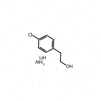 OCCc1ccc(Cl)cc1.[AlH3].[LiH]